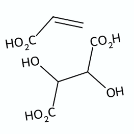 C=CC(=O)O.O=C(O)C(O)C(O)C(=O)O